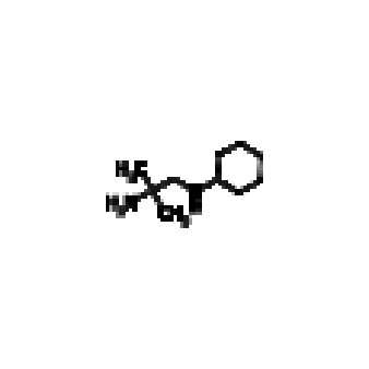 CC(C)(N)CNC1CCCCC1